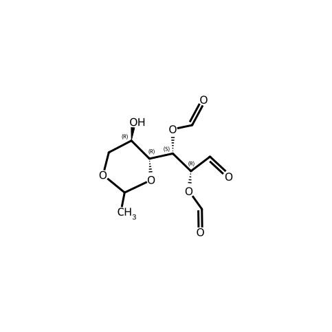 CC1OC[C@@H](O)[C@H]([C@H](OC=O)[C@H](C=O)OC=O)O1